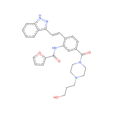 O=C(Nc1cc(C(=O)N2CCN(CCCO)CC2)ccc1C=Cc1n[nH]c2ccccc12)c1ccco1